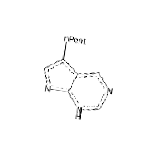 CCCCCc1cnc2[nH]cncc1-2